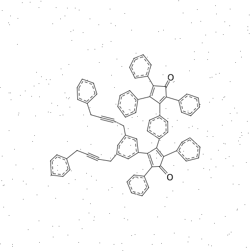 O=C1C(c2ccccc2)=C(c2ccccc2)C(c2ccc(C3=C(c4ccccc4)C(=O)C(c4ccccc4)=C3c3cc(CC#CCc4ccccc4)cc(CC#CCc4ccccc4)c3)cc2)=C1c1ccccc1